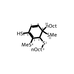 CCCCCCCCSC1C(SC)=C(S)C=CC1(CCCCCCCC)SC